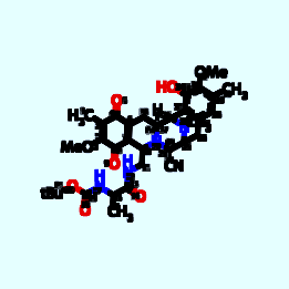 COC1=C(C)C(=O)C2=C(C1=O)C(CNC(=O)C(C)NC(=O)OC(C)(C)C)N1[C@@H](C#N)C3Cc4cc(C)c(OC)c(O)c4C([C@@H]1C2)N3C